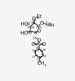 CCCCO[C@H]1O[C@H](COS(=O)(=O)c2ccc(C)cc2)[C@@H](O)[C@H](O)[C@H]1OCC